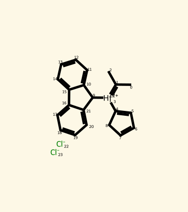 C[C](C)=[Hf+2]([C]1=CC=CC1)[CH]1c2ccccc2-c2ccccc21.[Cl-].[Cl-]